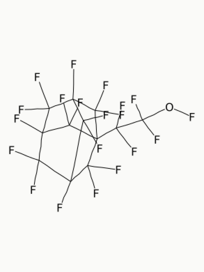 FOC(F)(F)C(F)(F)C12C(F)(F)C3(F)C(F)(F)C(F)(C(F)(F)C(F)(C3(F)F)C1(F)F)C2(F)F